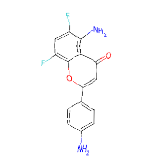 Nc1ccc(-c2cc(=O)c3c(N)c(F)cc(F)c3o2)cc1